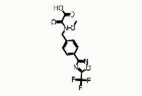 CON(Cc1ccc(-c2noc(C(F)(F)F)n2)cc1)C(=O)C(=O)O